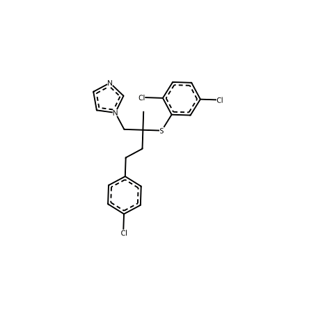 CC(CCc1ccc(Cl)cc1)(Cn1ccnc1)Sc1cc(Cl)ccc1Cl